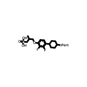 CCCCCC1CCC(c2ccc(OCC(C)CP(=O)(O)O)c(F)c2F)CC1